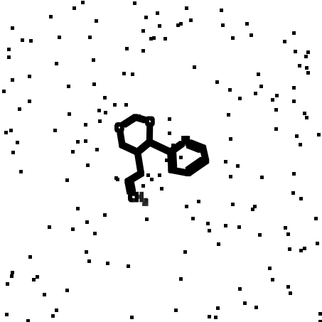 C=CCC1COCOC1c1ccccn1